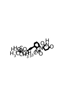 Cn1c(=O)n(C2CCC(=O)NC2=O)c2cccc(C#CCO[Si](C)(C)C(C)(C)C)c21